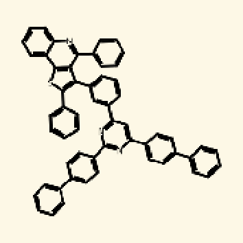 c1ccc(-c2ccc(-c3cc(-c4cccc(-c5c(-c6ccccc6)sc6c5c(-c5ccccc5)nc5ccccc56)c4)nc(-c4ccc(-c5ccccc5)cc4)n3)cc2)cc1